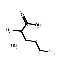 Cl.[CH2]C(CCCC)C(=O)O